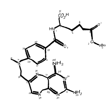 CCCCOC(=O)CCC(NC(=O)c1ccc(N(C)Cc2cnc3nc(N)nc(N)c3n2)cc1)C(=O)O